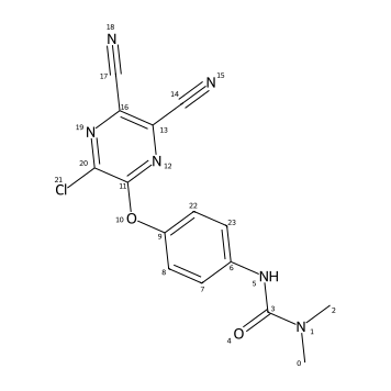 CN(C)C(=O)Nc1ccc(Oc2nc(C#N)c(C#N)nc2Cl)cc1